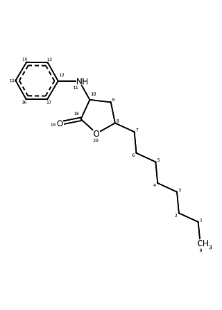 CCCCCCCCC1CC(Nc2ccccc2)C(=O)O1